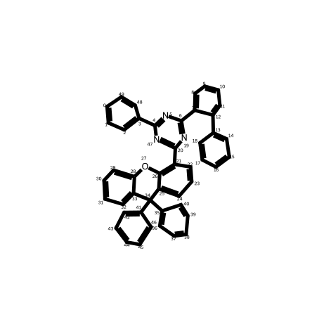 c1ccc(-c2nc(-c3ccccc3-c3ccccc3)nc(-c3cccc4c3Oc3ccccc3C4(c3ccccc3)c3ccccc3)n2)cc1